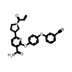 C=CC(=O)N1CCC(c2ccc(C(N)=O)c(Oc3ccc(Oc4cccc(C#N)c4)cc3)n2)C1